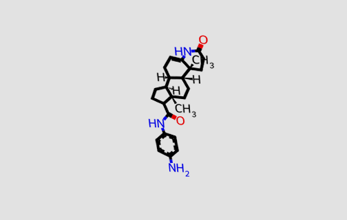 C[C@]12CCC(=O)NC1=CC[C@@H]1[C@H]2CC[C@]2(C)C(C(=O)Nc3ccc(N)cc3)CC[C@@H]12